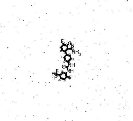 Nc1noc2c(F)ccc(-c3ccc(NC(=O)Nc4cc(C(F)(F)F)ccc4F)cc3)c12